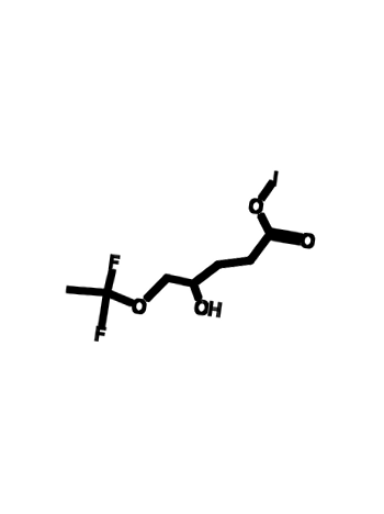 CC(F)(F)OCC(O)CCC(=O)OI